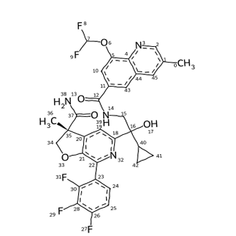 Cc1cnc2c(OC(F)F)cc(C(=O)NCC(O)(c3cc4c(c(-c5ccc(F)c(F)c5F)n3)OC[C@]4(C)C(N)=O)C3CC3)cc2c1